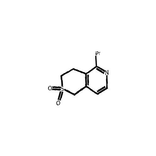 CC(C)c1nccc2c1CCS(=O)(=O)C2